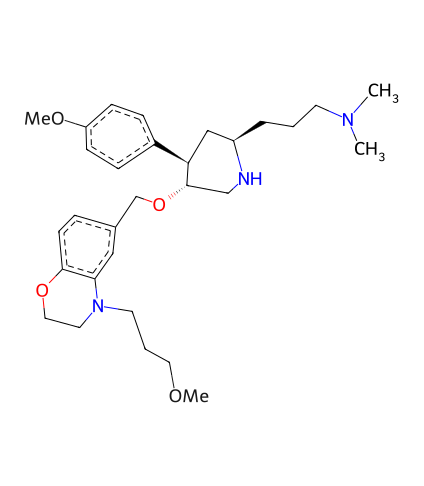 COCCCN1CCOc2ccc(CO[C@H]3CN[C@H](CCCN(C)C)C[C@@H]3c3ccc(OC)cc3)cc21